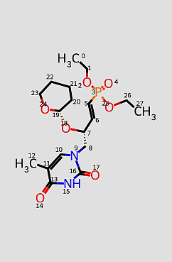 CCOP(=O)(C=C[C@H](Cn1cc(C)c(=O)[nH]c1=O)O[C@H]1CCCCO1)OCC